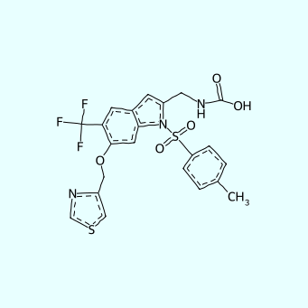 Cc1ccc(S(=O)(=O)n2c(CNC(=O)O)cc3cc(C(F)(F)F)c(OCc4cscn4)cc32)cc1